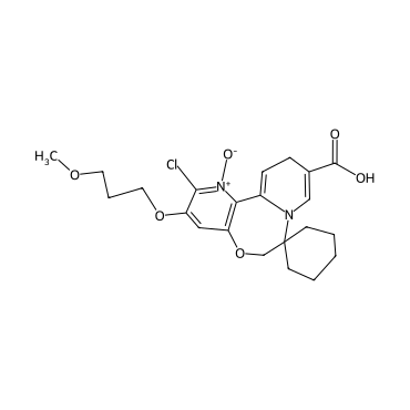 COCCCOc1cc2c([n+]([O-])c1Cl)C1=CCC(C(=O)O)=CN1C1(CCCCC1)CO2